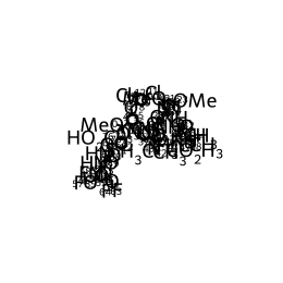 COC(=O)c1cc(Oc2ccc(Cl)cc2Cl)ccc1[N+](=O)[O-].COc1cc(OC)nc(NC(=O)NS(=O)(=O)c2ncccc2C(=O)N(C)C)n1.C[S+](C)C.O=C(Nc1nc(OC(F)F)cc(OC(F)F)n1)NS(=O)(=O)c1ccccc1C(=O)O.O=C(O)CNCP(=O)([O-])O